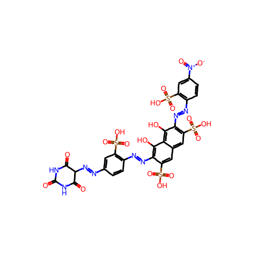 O=C1NC(=O)C(N=Nc2ccc(N=Nc3c(S(=O)(=O)O)cc4cc(S(=O)(=O)O)c(N=Nc5ccc([N+](=O)[O-])cc5S(=O)(=O)O)c(O)c4c3O)c(S(=O)(=O)O)c2)C(=O)N1